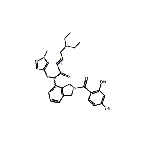 CCN(CC)C/C=C/C(=O)N(Cc1cnn(C)c1)c1cccc2c1CN(C(=O)c1ccc(O)cc1O)C2